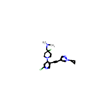 CN(C)CC1(F)CCN(c2cc(Cl)ncc2C#Cc2cnn(C3CC3)c2)CC1